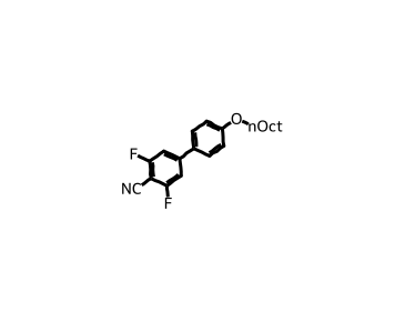 CCCCCCCCOc1ccc(-c2cc(F)c(C#N)c(F)c2)cc1